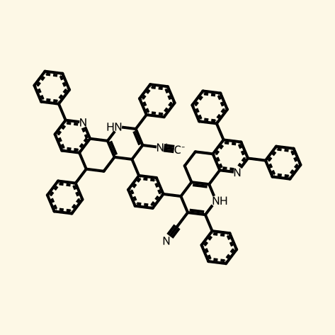 [C-]#[N+]C1=C(c2ccccc2)NC2=C(CC(c3ccccc3)c3ccc(-c4ccccc4)nc32)C1c1cccc(C2C(C#N)=C(c3ccccc3)NC3=C2CCc2c(-c4ccccc4)cc(-c4ccccc4)nc23)c1